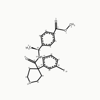 COC(=O)c1ccc([C@H](C)NC(=O)C2(c3cccc(F)c3)CCOCC2)cc1